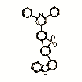 O=S1(=O)c2cc(-c3cc(-c4ccccc4)nc(-c4ccccc4)n3)ccc2-c2ccc(-c3cccc4oc5ccccc5c34)cc21